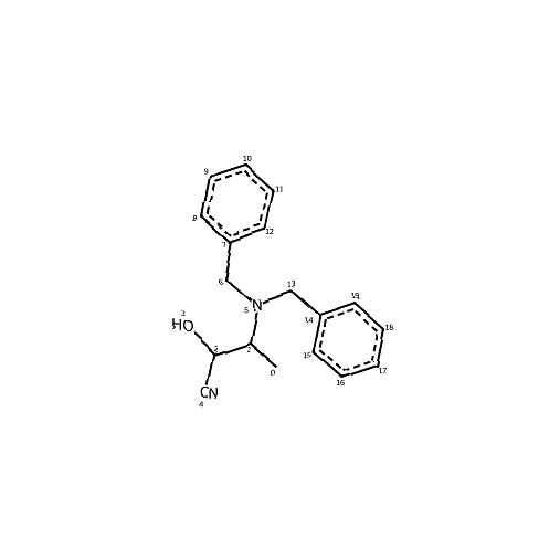 CC(C(O)C#N)N(Cc1ccccc1)Cc1ccccc1